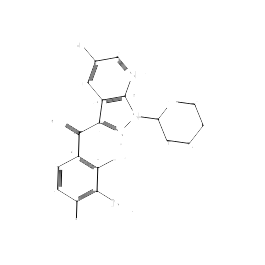 Nc1c(F)ccc(C(=O)c2nn(C3CCCCO3)c3ncc(Br)cc23)c1F